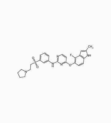 Cc1cc2c(F)c(Oc3ccnc(Nc4cccc(S(=O)(=O)CCN5CCCC5)c4)n3)ccc2[nH]1